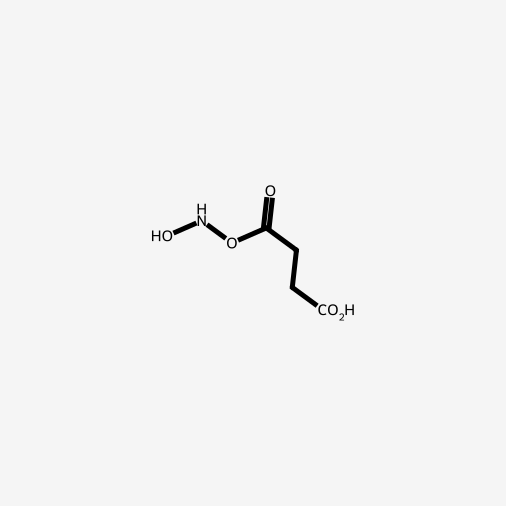 O=C(O)CCC(=O)ONO